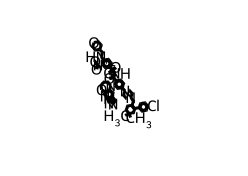 CC1(C)CCC(CN2CCN(c3ccc(C(=O)NS(=O)(=O)c4ccc(NCC5CCOCC5)c([N+](=O)[O-])c4)c(N4CCCOc5nn6nncc6cc54)c3)CC2)=C(c2ccc(Cl)cc2)C1